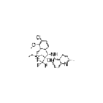 CCSC[C@@](O)([C@H](Nc1cccc2nc(C)ccc12)c1ccc(Cl)c(OC)c1F)C(F)(F)F